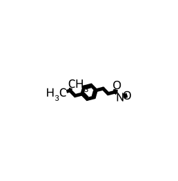 CC(C)Cc1ccc(CCC(=O)N=O)cc1